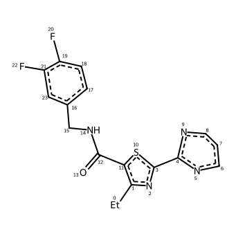 CCc1nc(-c2ncccn2)sc1C(=O)NCc1ccc(F)c(F)c1